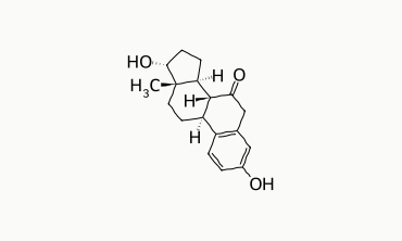 C[C@]12CC[C@@H]3c4ccc(O)cc4CC(=O)[C@H]3[C@@H]1CC[C@H]2O